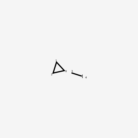 C1CC1.CI